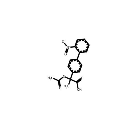 CC(=O)SC(C)(C(=O)O)c1ccc(-c2ccccc2[N+](=O)[O-])cc1